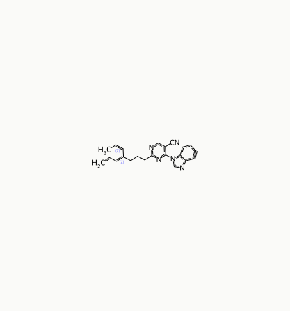 C=C/C=C(\C=C/C)CCCc1ncc(C#N)c(-n2cnc3c#cccc32)n1